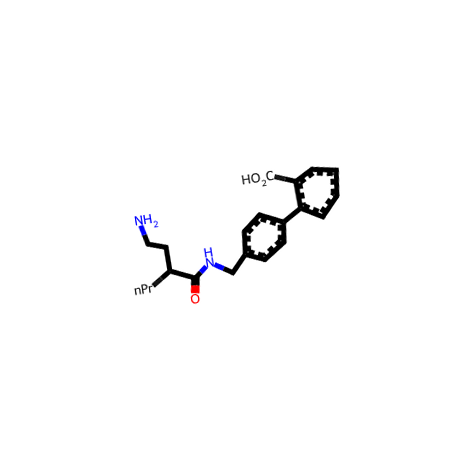 CCCC(CCN)C(=O)NCc1ccc(-c2ccccc2C(=O)O)cc1